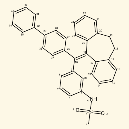 CS(=O)(=O)Nc1cccc(C(=C2c3ccccc3CCc3ccccc32)c2ccc(-c3ccccc3)cc2)c1